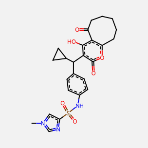 Cn1cnc(S(=O)(=O)Nc2ccc(C(c3c(O)c4c(oc3=O)CCCCCC4=O)C3CC3)cc2)c1